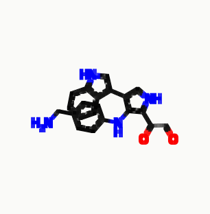 NCc1ccc(Nc2c(-c3c[nH]c4ccccc34)c[nH]c2C(=O)C=O)cc1